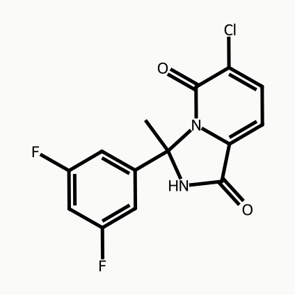 CC1(c2cc(F)cc(F)c2)NC(=O)c2ccc(Cl)c(=O)n21